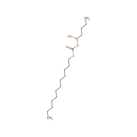 CCCCCCCCCCCCSC(=S)SC(O)CCCC